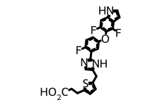 O=C(O)CCc1ccc(Cc2cnc(-c3cc(Oc4c(F)cc5[nH]ccc5c4F)ccc3F)[nH]2)s1